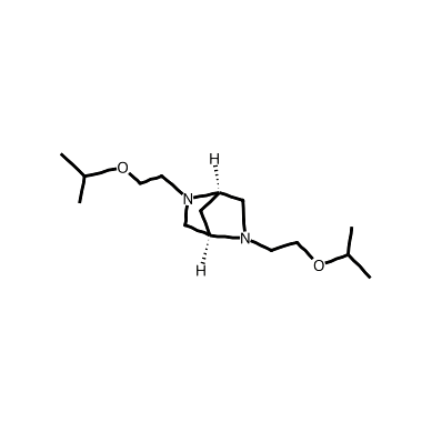 CC(C)OCCN1C[C@H]2C[C@@H]1CN2CCOC(C)C